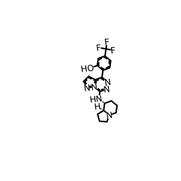 Oc1cc(C(F)(F)F)ccc1-c1nnc(N[C@@H]2CCCN3CCC[C@@H]23)n2nccc12